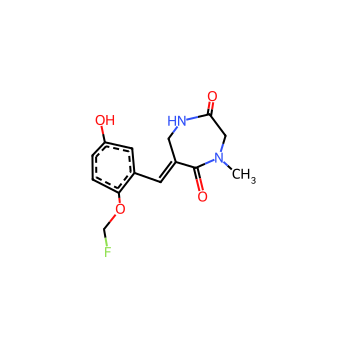 CN1CC(=O)NC/C(=C\c2cc(O)ccc2OCF)C1=O